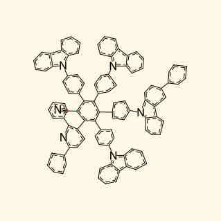 N#Cc1c(-c2ccc(-n3c4ccccc4c4ccccc43)cc2)c(-c2ccc(-n3c4ccccc4c4ccccc43)cc2)c(-c2ccc(-n3c4ccccc4c4cc(-c5ccccc5)ccc43)cc2)c(-c2ccc(-n3c4ccccc4c4ccccc43)cc2)c1-c1ccc(-c2ccccc2)nc1-c1ccccc1